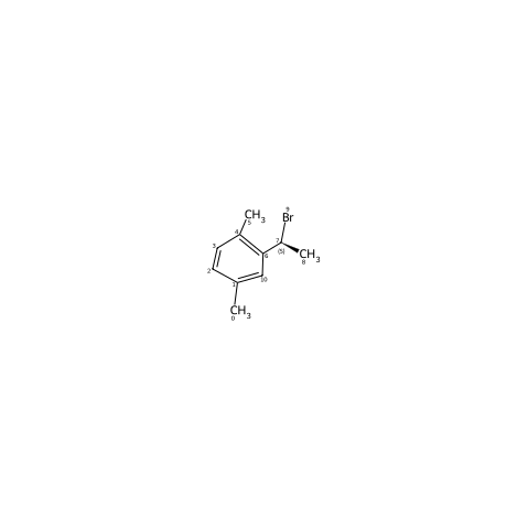 Cc1ccc(C)c([C@H](C)Br)c1